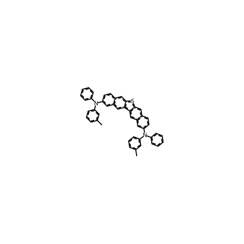 Cc1cccc(N(c2ccccc2)c2ccc3cc4sc5cc6ccc(N(c7ccccc7)c7cccc(C)c7)cc6cc5c4cc3c2)c1